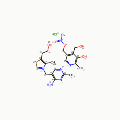 Cc1ncc(CO[N+](=O)[O-])c(CO)c1O.Cc1ncc(C[n+]2csc(CCO)c2C)c(N)n1.Cl